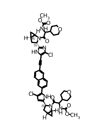 COC(=O)NC(C(=O)N1[C@@H]2C[C@@H]2C[C@H]1c1cc(Cl)c(-c2ccc3cc(C#Cc4[nH]c([C@@H]5C[C@H]6C[C@H]6N5C(=O)C(NC(=O)OC)C5CCOCC5)nc4Cl)ccc3c2)[nH]1)C1CCOCC1